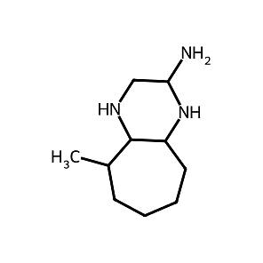 CC1CCCCC2NC(N)CNC12